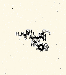 Cc1nc(-c2cc(C=NN(C)C(N)=S)nc(Nc3ccc4c(c3)OCO4)n2)c[nH]1